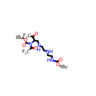 CC(C)(C)OC(=O)NCCNCCNCC(C(=O)C(F)(F)F)N(C(=O)OC(C)(C)C)C(=O)C(F)(F)F